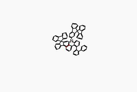 c1ccc(-c2ccccc2-c2cccc(N(c3ccc4c(c3)C3(c5ccccc5-c5ccccc53)c3ccccc3-4)c3ccc4c(c3)C3(c5ccccc5-c5ccccc53)c3ccccc3-4)c2-c2ccccc2)cc1